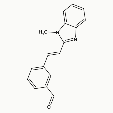 Cn1c(C=Cc2cccc(C=O)c2)nc2ccccc21